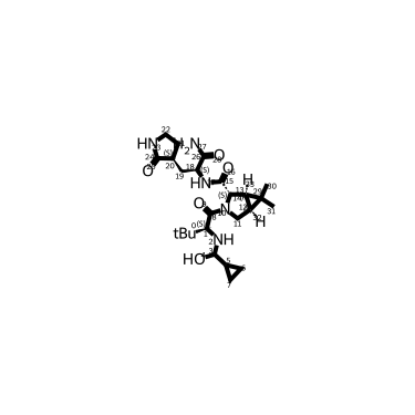 CC(C)(C)[C@H](NC(O)C1CC1)C(=O)N1C[C@H]2[C@@H]([C@H]1C(=O)N[C@@H](C[C@@H]1CCNC1=O)C(N)=O)C2(C)C